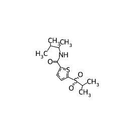 CC(C)C(C)NC(=O)c1ccc(S(=O)(=O)C(C)C)s1